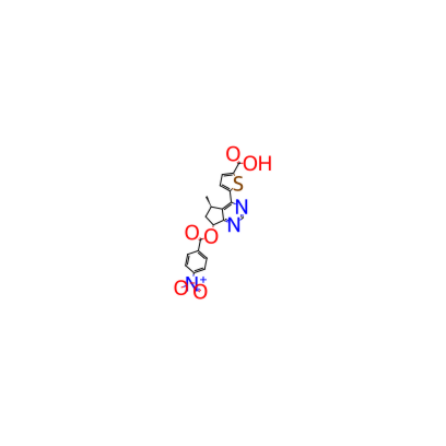 C[C@@H]1C[C@@H](OC(=O)c2ccc([N+](=O)[O-])cc2)c2ncnc(-c3ccc(C(=O)O)s3)c21